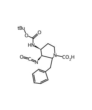 CC(C)(C)OC(=O)N[C@H]1CCN(C(=O)O)C(Cc2ccccc2)[C@H]1N=C=O